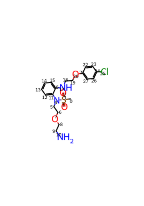 CS(=O)(=O)N(CCOCCN)c1ccccc1NCCOc1ccc(Cl)cc1